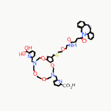 O=C(CCC(=O)N1Cc2ccccc2/C=C\c2ccccc21)NCCOCCSCC1CC2OCCN(Cc3cccc(C(=O)O)n3)CCOCCOCCN(Cc3cccc(C(O)O)n3)CCOC2C1